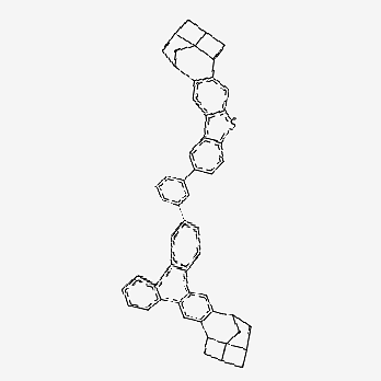 c1cc(-c2ccc3sc4cc5c(cc4c3c2)C2CC3CC4CC5C34C2)cc(-c2ccc3c(c2)c2ccccc2c2cc4c(cc32)C2CC3CC5CC4C35C2)c1